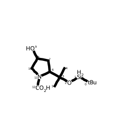 CC(C)(C)[SiH2]OC(C)(C)C1CC(O)CN1C(=O)O